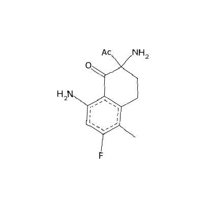 CC(=O)C1(N)CCc2c(C)c(F)cc(N)c2C1=O